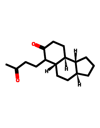 CC(=O)CCC1C(=O)CC[C@H]2[C@@H]3CCC[C@H]3CC[C@H]12